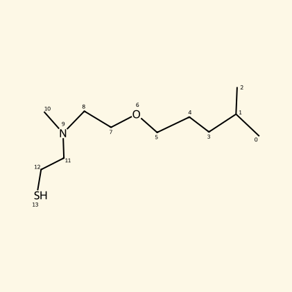 CC(C)CCCOCCN(C)CCS